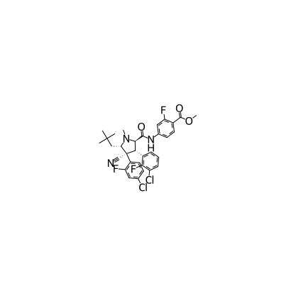 COC(=O)c1ccc(NC(=O)[C@H]2[C@H](c3cccc(Cl)c3F)[C@@](C#N)(c3ccc(Cl)cc3F)[C@H](CC(C)(C)C)N2C)cc1F